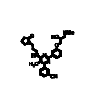 CNCC(O)COc1cccc(-c2nc(NCCCN3CCCC3=O)c(C)c(-c3cccc(C#N)c3)n2)c1